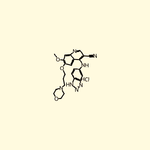 COc1cc2ncc(C#N)c(Nc3ccc4[nH]nnc4c3)c2cc1OCCCN1CCOCC1.Cl